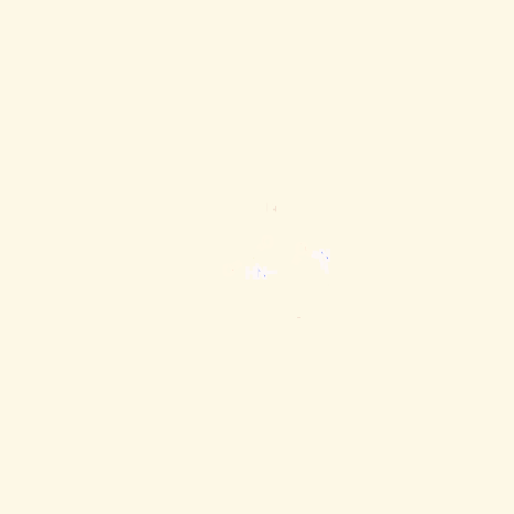 Cc1ccc(Br)c(S(=O)(=O)Nc2onc(C)c2Br)c1